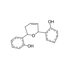 Oc1ccccc1C1C=CCC(c2ccccc2O)O1